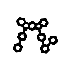 C1=CC2c3cc4c5ccccc5n(-c5ccc(-c6ccccc6-c6ccccc6)cc5)c4cc3N(c3ccc(-c4ccccc4)cc3)C2C=C1